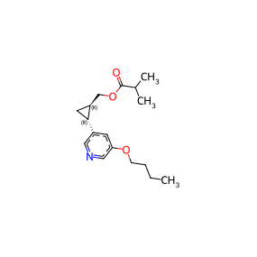 CCCCOc1cncc([C@@H]2C[C@H]2COC(=O)C(C)C)c1